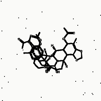 COc1cc2c(cc1OC(C)=O)CCN[C@]21CS[C@@H]2C3C(OC(C)=O)C(C)=C4OCOC4C3[C@H](COC1=O)N1C2[C@H]2c3c(cc(C)c(OC)c3OC(C)=O)C[C@H]([C@@H]1O)N2C